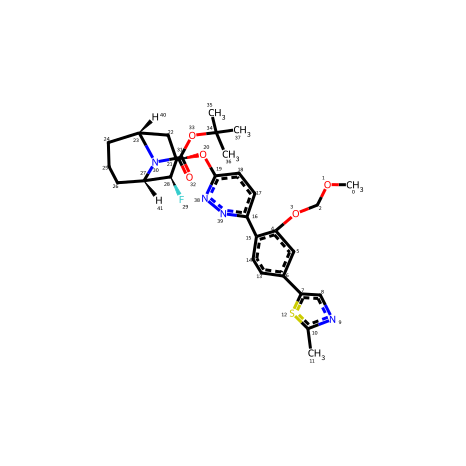 COCOc1cc(-c2cnc(C)s2)ccc1-c1ccc(O[C@@H]2C[C@H]3CCC[C@@H]([C@@H]2F)N3C(=O)OC(C)(C)C)nn1